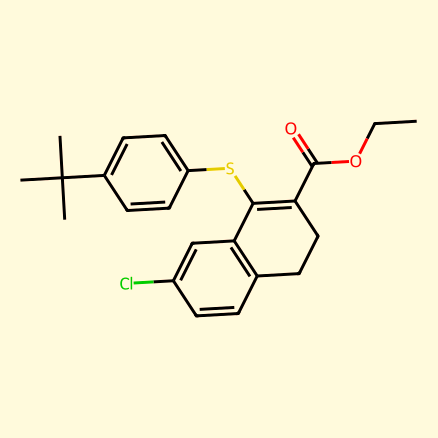 CCOC(=O)C1=C(Sc2ccc(C(C)(C)C)cc2)c2cc(Cl)ccc2CC1